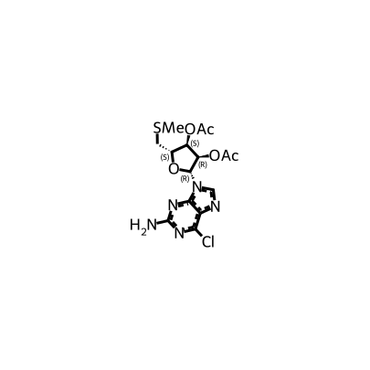 CSC[C@H]1O[C@@H](n2cnc3c(Cl)nc(N)nc32)[C@H](OC(C)=O)[C@@H]1OC(C)=O